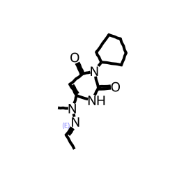 C/C=N/N(C)c1cc(=O)n(C2CCCCC2)c(=O)[nH]1